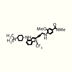 CNC(=O)c1ccc(NCC#Cc2cc3c(N[C@H]4CC[C@H](N(C)C)CC4)cccc3n2CC(F)(F)F)c(OC)c1